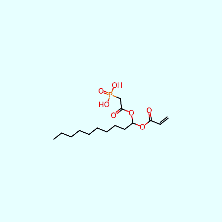 C=CC(=O)OC(CCCCCCCCC)OC(=O)CP(=O)(O)O